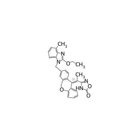 CCOc1nc2c(C)cccc2n1Cc1ccc2c(c1)COc1ccccc1/C2=C(/C)c1noc(=O)[nH]1